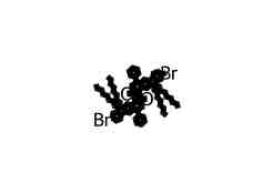 CCCCCCCCC1(CCCCCCCC)c2cc(Br)ccc2-c2cc3c(cc21)C1=C2C(=O)N4C=C(c5ccccc5)c5cc6c(cc5C4=C2C(=O)N1C=C3c1ccccc1)C(CCCCCCCC)(CCCCCCCC)c1cc(Br)ccc1-6